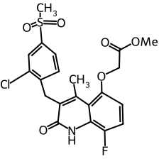 COC(=O)COc1ccc(F)c2[nH]c(=O)c(Cc3ccc(S(C)(=O)=O)cc3Cl)c(C)c12